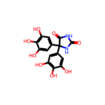 O=C1NC(=O)C(c2cc(O)c(O)c(O)c2)(c2cc(O)c(O)c(O)c2)N1